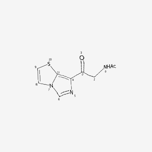 CC(=O)NCC(=O)c1ncn2ccsc12